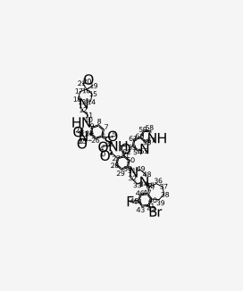 O=C(NS(=O)(=O)c1ccc(NCCN2CCC3(CC2)COC3)c([N+](=O)[O-])c1)c1ccc(N2CCN([C@@H]3CCCCc4c(Br)cc(F)cc43)CC2)cc1Oc1cnc2[nH]ccc2c1